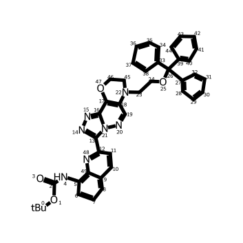 CC(C)(C)OC(=O)Nc1cccc2ccc(-c3nnc4c5c(cnn34)N(CCOC(c3ccccc3)(c3ccccc3)c3ccccc3)CCO5)nc12